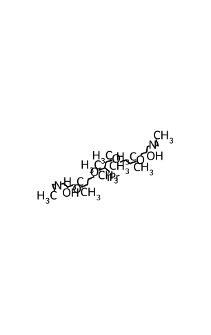 CC(C)CC(CC(C)(C)OCCCC(C)(C)OCC(O)CN1CC1C)C(C)(C)OCCCC(C)(C)OCC(O)CN1CC1C